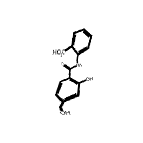 O=C(Nc1ccccc1C(=O)O)c1ccc(O)cc1O